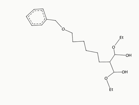 CCOC(O)C(CCCCCCOCc1ccccc1)C(O)OCC